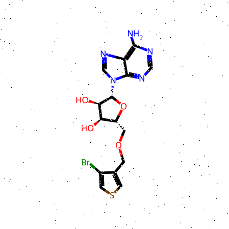 Nc1ncnc2c1ncn2[C@@H]1O[C@H](COCc2cscc2Br)[C@@H](O)[C@H]1O